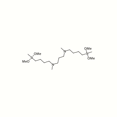 CO[Si](C)(CCCCN(C)CCCN(C)CCCC[Si](C)(OC)OC)OC